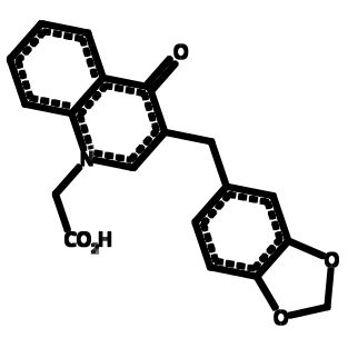 O=C(O)Cn1cc(Cc2ccc3c(c2)OCO3)c(=O)c2ccccc21